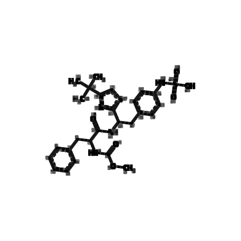 COC(=O)NC(Cc1ccccc1)C(=O)NC(Cc1ccc(NS(=O)(=O)O)cc1)c1nc(C(C)(C)C)cs1